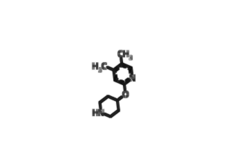 Cc1cnc(OC2CCNCC2)cc1C